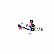 COc1ccc(NCCCCCCNC(=O)C2CCC2)c(CN(C(C)=O)c2cc(F)ccc2Oc2ccccc2)c1